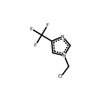 FC(F)(F)c1cn(CCl)cn1